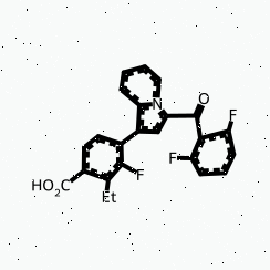 CCc1c(C(=O)O)ccc(-c2cc(C(=O)c3c(F)cccc3F)n3ccccc23)c1F